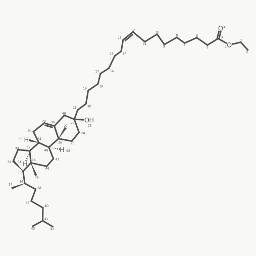 CCOC(=O)CCCCCCC/C=C\CCCCCCCCC1(O)CC[C@@]2(C)C(=CC[C@H]3[C@@H]4CC[C@H]([C@H](C)CCCC(C)C)[C@@]4(C)CC[C@@H]32)C1